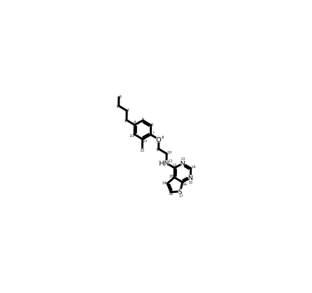 CCCCc1ccc(OCCNc2ncnc3sccc23)c(C)c1